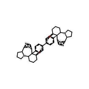 O=C=C1CCC[C]2N3CCCC3c3ncc([nH]3)C21c1ccc(-c2ccc([C@]34[C](CCCC3=C=O)N3CCCC3c3ncc4[nH]3)cc2)cc1